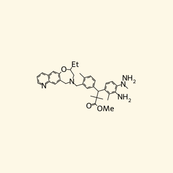 CCC1CN(Cc2cc(C(c3ccc(N(C)N)c(N)c3C)C(C)(C)C(=O)OC)ccc2C)Cc2cc3ncccc3cc2O1